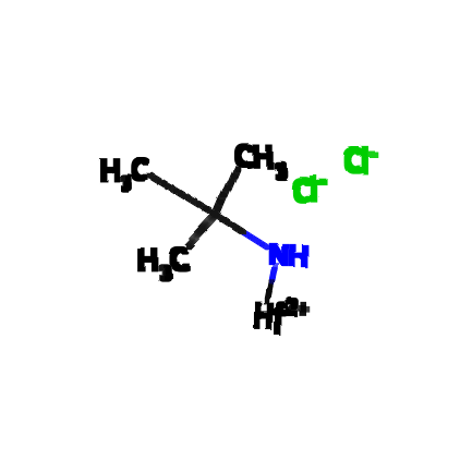 CC(C)(C)[NH][Hf+2].[Cl-].[Cl-]